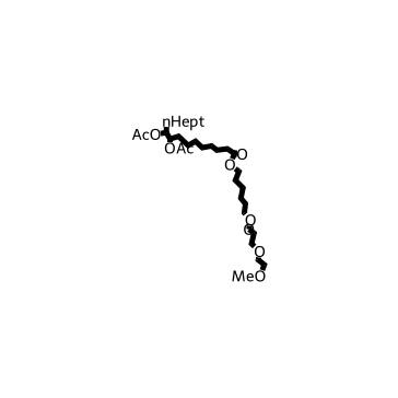 CCCCCCCC(OC(C)=O)C(CCCCCCCC(=O)OCCCCCCOOCCOCCOC)OC(C)=O